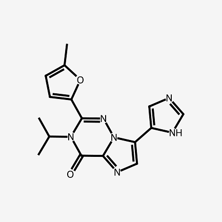 Cc1ccc(-c2nn3c(-c4cnc[nH]4)cnc3c(=O)n2C(C)C)o1